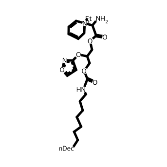 CCCCCCCCCCCCCCCCCNC(=O)OCC(COC(=O)C(N)[N+]1(CC)C=CC=CC1)Oc1ccon1